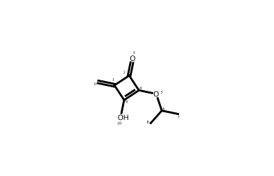 C=C1C(=O)C(OC(C)C)=C1O